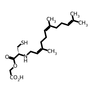 CC(C)=CCCC(C)=CCCC(C)=CCN[C@@H](CS)C(=O)OCC(=O)O